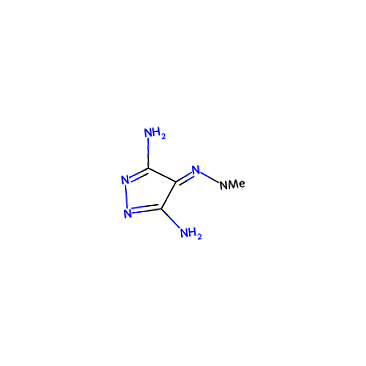 CNN=C1C(N)=NN=C1N